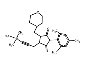 Cc1cc(C)c(C2C(=O)C(CC#C[Si](C)(C)C)C(CC3CCOCC3)C2=O)c(C)c1